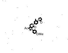 COc1ccc(-n2nc(C(C)=O)c3c2C(=O)N(c2ccc(N4CCCC4=O)c(C)c2)CC3)cc1